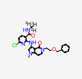 [2H]C([2H])([2H])NC(=O)c1ccc(Cl)nc1Nc1cn(C)c2ccn(CCOCc3ccccc3)c(=O)c12